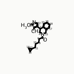 Cc1c(C2CN(C(=O)CCCCC3CC3)Cc3ccccc32)cnn1C